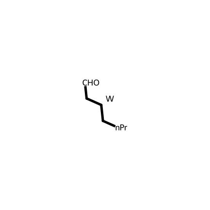 CCCCCCC=O.[W]